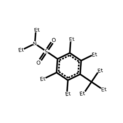 CCc1c(CC)c(S(=O)(=O)N(CC)CC)c(CC)c(CC)c1C(CC)(CC)CC